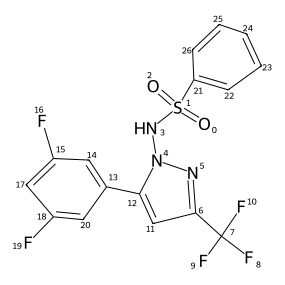 O=S(=O)(Nn1nc(C(F)(F)F)cc1-c1cc(F)cc(F)c1)c1ccccc1